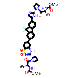 COC(=O)N[C@H](C(=O)N1CCC[C@H]1C1=NS(=O)(=O)c2ccc(-c3ccc4c(c3)C(F)(F)c3cc(-c5cnc([C@@H]6CCCN6C(=O)[C@@H](NC(=O)OC)C(C)C)[nH]5)ccc3-4)cc2N1)C(C)C